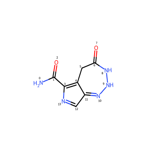 NC(=O)C1=C2CC(=O)NNN=C2C=N1